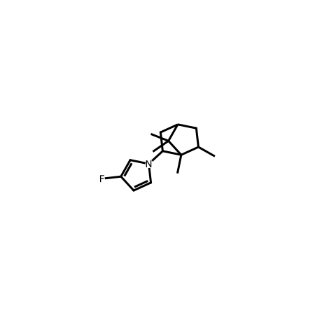 CC1CC2CC(n3ccc(F)c3)C1(C)C2(C)C